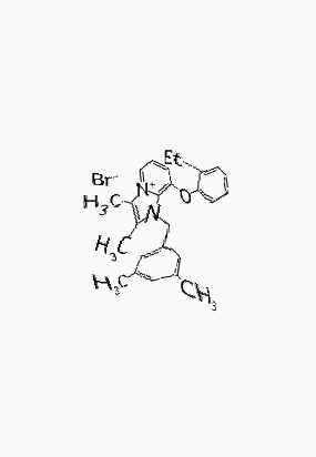 CCc1ccccc1Oc1ccc[n+]2c(C)c(C)n(Cc3cc(C)cc(C)c3)c12.[Br-]